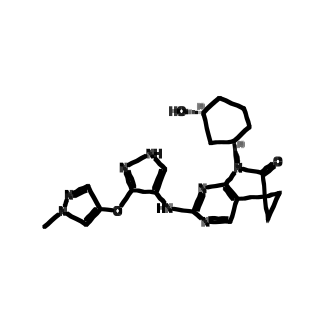 Cn1cc(Oc2n[nH]cc2Nc2ncc3c(n2)N([C@@H]2CCC[C@@H](O)C2)C(=O)C32CC2)cn1